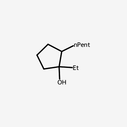 CCCCCC1CCCC1(O)CC